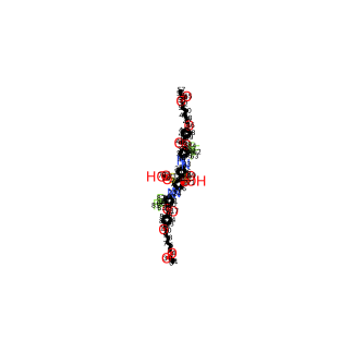 C=CC(=O)OCCCCCCOc1ccc(C(=O)Oc2ccc(N=Nc3ccc(-c4ccc(N=Nc5ccc(OC(=O)c6ccc(OCCCCCCOC(=O)C=C)cc6)c(C(F)(F)F)c5)cc4S(=O)(=O)O)c(SOOO)c3)cc2C(F)(F)F)cc1